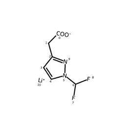 O=C([O-])Cc1ccn(C(F)F)n1.[Li+]